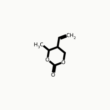 C=CC1COC(=O)OC1C